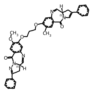 COc1cc2c(cc1OCCCOc1cc3c(cc1C)C(=O)N1C=C(c4ccccc4)C[C@H]1C=N3)N=C[C@@H]1CC(c3ccccc3)=NN1C2=O